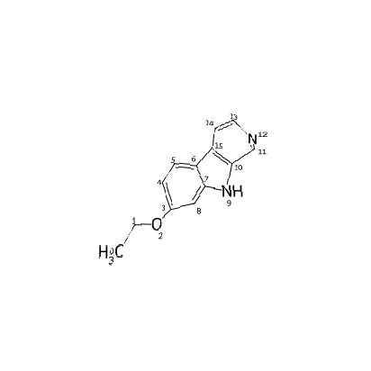 CCOc1ccc2c(c1)[nH]c1cnccc12